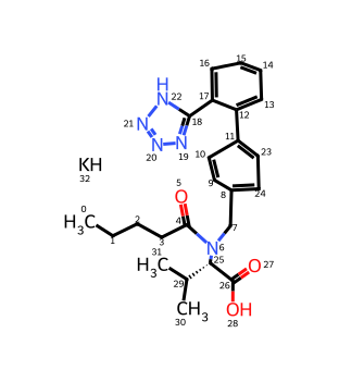 CCCCC(=O)N(Cc1ccc(-c2ccccc2-c2nnn[nH]2)cc1)[C@H](C(=O)O)C(C)C.[KH]